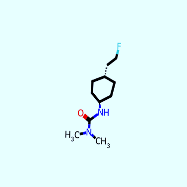 CN(C)C(=O)N[C@H]1CC[C@H](CCF)CC1